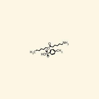 CCCCCCOC(=O)CCCCCN.Cc1ccc(S(=O)(=O)O)cc1